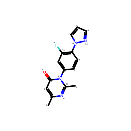 Cc1cc(=O)n(-c2ccc(-n3cccn3)c(F)c2)c(C)n1